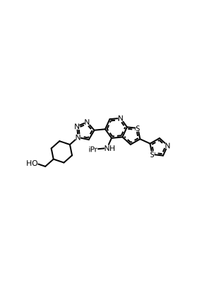 CC(C)Nc1c(-c2cn(C3CCC(CO)CC3)nn2)cnc2sc(-c3cncs3)cc12